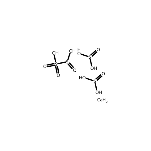 O=S(O)O.O=S(O)O.O=S(O)S(=O)(=O)O.[CaH2]